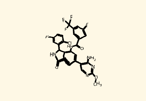 COc1ncc(-c2cc(NC(=O)c3cc(F)cc(C(F)(F)F)c3)c3c(c2)C(=O)NC3c2cc(F)ccc2Cl)c(N)n1